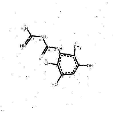 Cc1c(O)cc(O)c(Cl)c1NC(=O)NC(=N)N